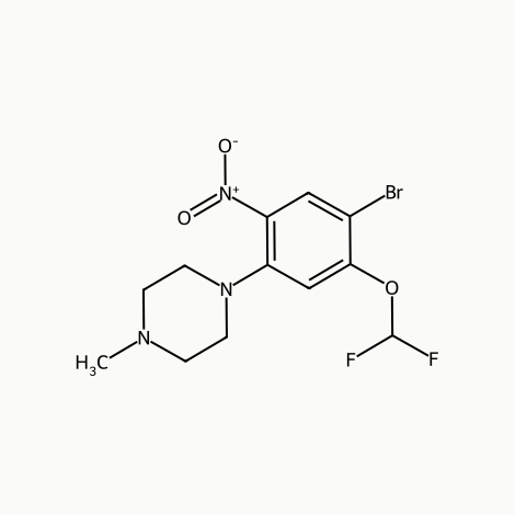 CN1CCN(c2cc(OC(F)F)c(Br)cc2[N+](=O)[O-])CC1